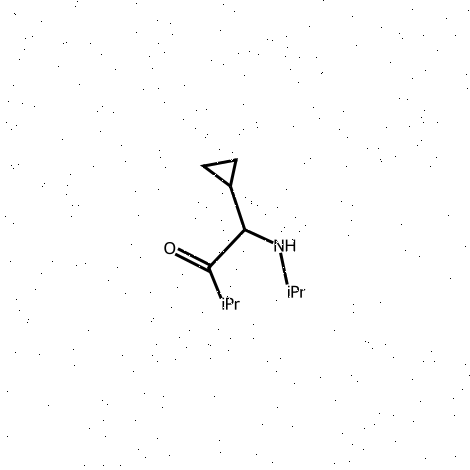 CC(C)NC(C(=O)C(C)C)C1CC1